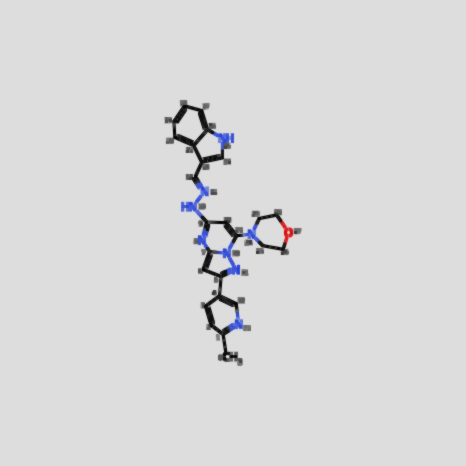 Cc1ccc(-c2cc3nc(NN=Cc4c[nH]c5ccccc45)cc(N4CCOCC4)n3n2)cn1